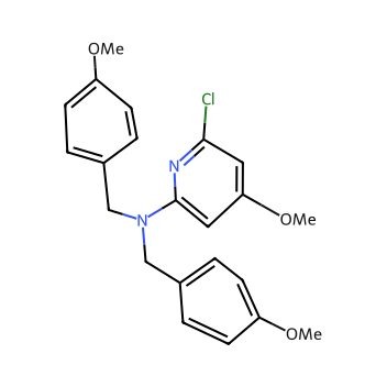 COc1ccc(CN(Cc2ccc(OC)cc2)c2cc(OC)cc(Cl)n2)cc1